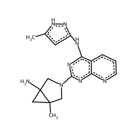 Cc1cc(Nc2nc(N3CC4(C)CC4(N)C3)nc3ncccc23)n[nH]1